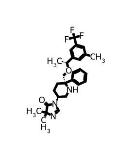 Cc1cc([C@@H](C)OC[C@@]2(c3ccccc3)CC[C@H](N3C=NC(C)(C)C3=O)CN2)cc(C(F)(F)F)c1